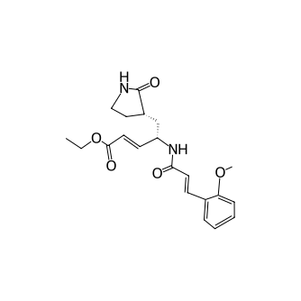 CCOC(=O)C=C[C@H](C[C@@H]1CCNC1=O)NC(=O)C=Cc1ccccc1OC